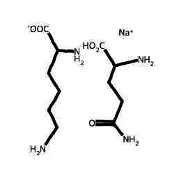 NC(=O)CCC(N)C(=O)O.NCCCCC(N)C(=O)[O-].[Na+]